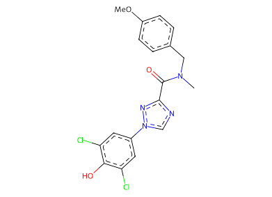 COc1ccc(CN(C)C(=O)c2ncn(-c3cc(Cl)c(O)c(Cl)c3)n2)cc1